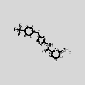 O=C(Nc1ncc(Cc2ccc(C(F)(F)F)cc2)s1)c1cccc(P)n1